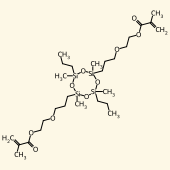 C=C(C)C(=O)OCCOCCC[Si]1(C)O[Si](C)(CCC)O[Si](C)(CCCOCCOC(=O)C(=C)C)O[Si](C)(CCC)O1